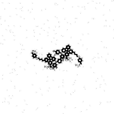 C=CC1=CCC(OCCCCC2=CCC(C3(c4ccc(C(C)(C)C)cc4)c4ccccc4C4C=CC(N(c5ccc6oc7c(c6c5)C=C(N(c5ccc(F)c(F)c5)c5ccc6c(c5)C(c5ccc(CCCCOc8ccc(C=C)cc8)cc5)(c5ccc(C(C)(C)C)cc5)c5ccccc5-6)CC7)C5CCC(F)=C(F)C5)CC43)C=C2)C=C1